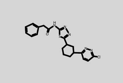 O=C(Cc1ccccc1)Nc1nnc(C2CCCC(c3ccc(Cl)nn3)C2)s1